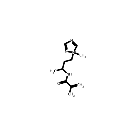 C=C(C)C(=O)NC(C)CC[N+]1(C)C=NC=N1